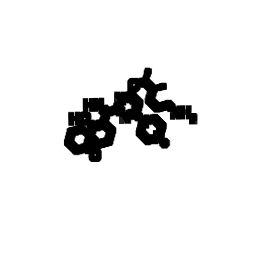 C[C@H](Oc1cc(N2CCN(C)CC2)nc(C(=N)C2=C(O)[C@]3(CCCCC3=O)CCC2)n1)[C@@H](C)CCCN